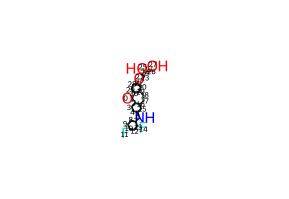 O=C1c2ccc(Nc3ccc(F)cc3F)cc2CCc2cc(OCC(O)CO)ccc21